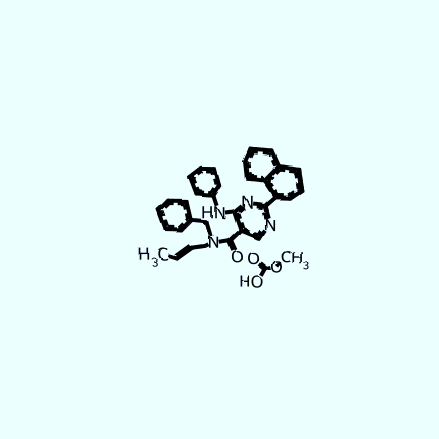 C/C=C/CN(Cc1ccccc1)C(=O)c1cnc(-c2cccc3ccccc23)nc1Nc1ccccc1.COC(=O)O